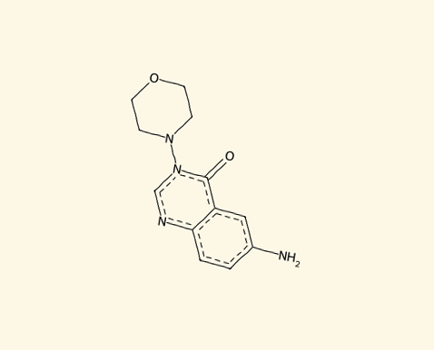 Nc1ccc2ncn(N3CCOCC3)c(=O)c2c1